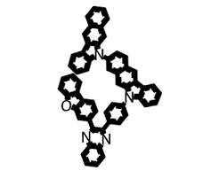 c1ccc2cc3c(cc2c1)c1ccccc1n3-c1ccc2cc3c4ccccc4n(-c4ccc(-c5nc6ccccc6nc5-c5ccc6c(c5)oc5ccccc56)cc4)c3cc2c1